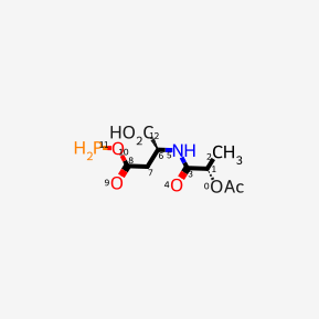 CC(=O)O[C@@H](C)C(=O)N[C@@H](CC(=O)OP)C(=O)O